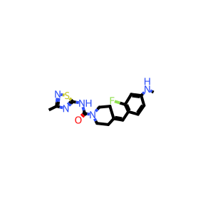 CNc1ccc(C=C2CCN(C(=O)Nc3nc(C)ns3)CC2)c(F)c1